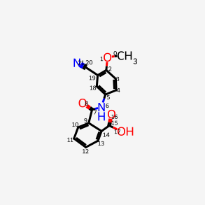 COc1ccc(NC(=O)c2ccccc2C(=O)O)cc1C#N